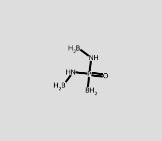 BNP(B)(=O)NB